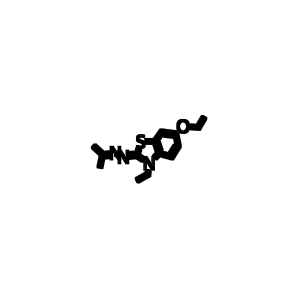 CCOc1ccc2c(c1)s/c(=N\N=C(C)C)n2CC